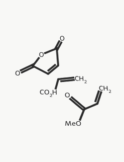 C=CC(=O)O.C=CC(=O)OC.O=C1C=CC(=O)O1